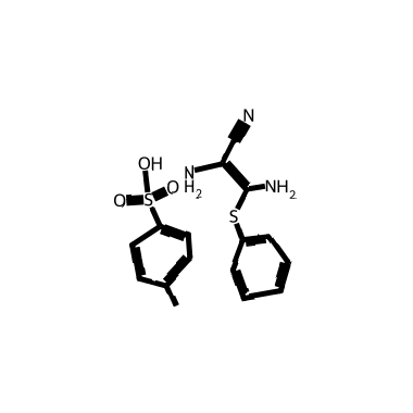 Cc1ccc(S(=O)(=O)O)cc1.N#CC(N)=C(N)Sc1ccccc1